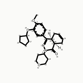 COc1ccc(C2=NN(C3CCOCC3)C(=O)[C@@H]3CC=CC[C@H]23)cc1OC1CCCC1